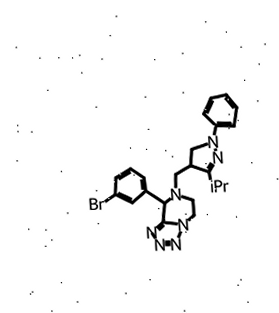 CC(C)C1=NN(c2ccccc2)CC1CN1CCn2nnnc2C1c1cccc(Br)c1